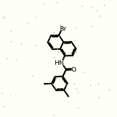 Cc1cc(C)cc(C(=O)Nc2cccc3c(Br)cccc23)c1